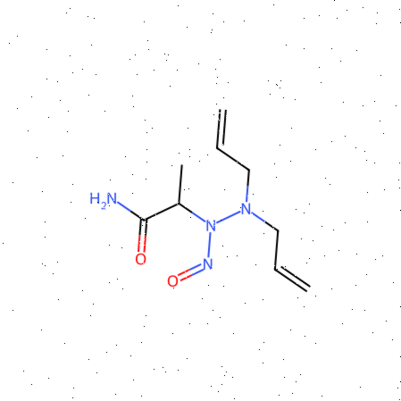 C=CCN(CC=C)N(N=O)C(C)C(N)=O